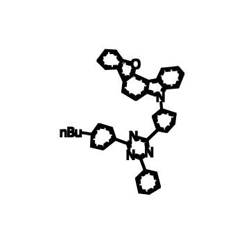 CCCCc1ccc(-c2nc(-c3ccccc3)nc(-c3cccc(-n4c5ccccc5c5c6oc7ccccc7c6ccc54)c3)n2)cc1